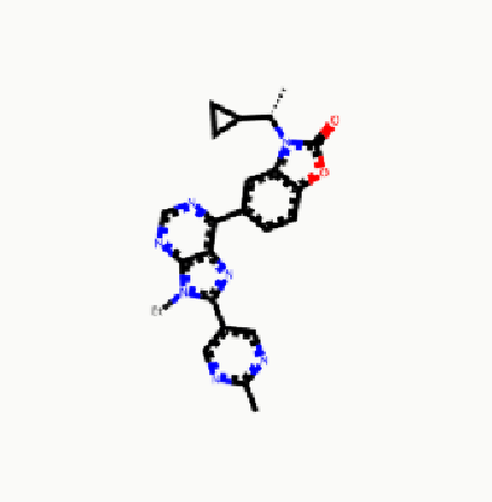 CCn1c(-c2cnc(C)nc2)nc2c(-c3ccc4oc(=O)n([C@@H](C)C5CC5)c4c3)ncnc21